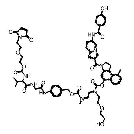 Cc1cccc2c(OC(=O)N(CCOCCO)CCN(C)C(=O)OCc3ccc(NC(=O)CNC(=O)[C@@H](NC(=O)OCCOCCN4C(=O)C=CC4=O)C(C)C)cc3)cc3c(c12)CCN3C(=O)c1cn2cc(NC(=O)c3ccc(O)cc3)ccc2n1